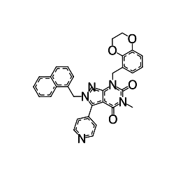 Cn1c(=O)c2c(-c3ccncc3)n(Cc3cccc4ccccc34)nc2n(Cc2cccc3c2OCCO3)c1=O